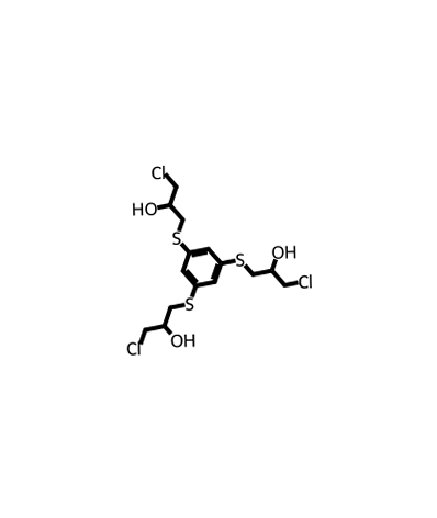 OC(CCl)CSc1cc(SCC(O)CCl)cc(SCC(O)CCl)c1